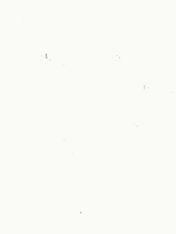 CNCC(=O)N1CCc2ccc(C(N)=O)cc21.NCc1cccc(C(=O)N(CC(=O)O)c2ccccc2)c1.O=C(O)C(F)(F)F.O=C(O)C(F)(F)F